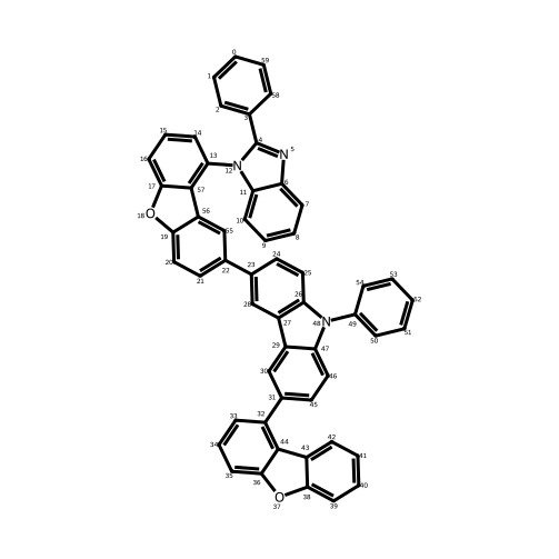 c1ccc(-c2nc3ccccc3n2-c2cccc3oc4ccc(-c5ccc6c(c5)c5cc(-c7cccc8oc9ccccc9c78)ccc5n6-c5ccccc5)cc4c23)cc1